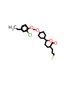 CCc1ccc(OCOC2CCC(C3CCC(CCCF)C(=O)O3)CC2)c(Cl)c1